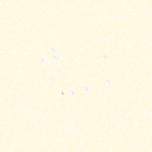 O=C([C@H]1CCN(S(=O)(=O)c2ncn[nH]2)C1)N1CCN(c2ccnc3cc(O)ccc23)CC1